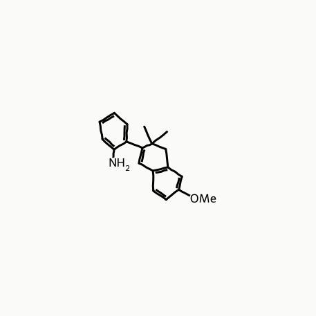 COc1ccc2c(c1)CC(C)(C)C(c1ccccc1N)=C2